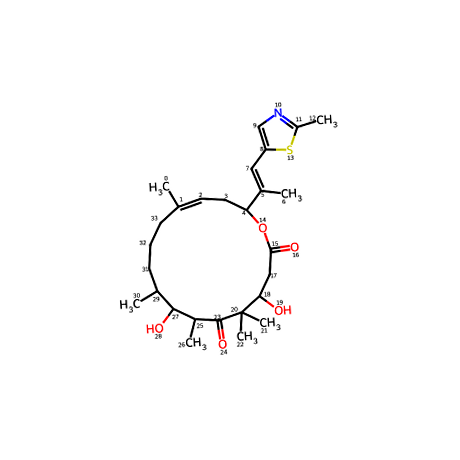 C/C1=C/CC(/C(C)=C/c2cnc(C)s2)OC(=O)CC(O)C(C)(C)C(=O)C(C)C(O)C(C)CCC1